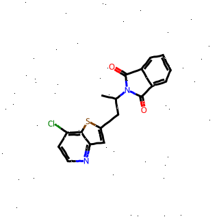 CC(Cc1cc2nccc(Cl)c2s1)N1C(=O)c2ccccc2C1=O